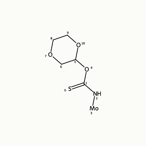 S=C([NH][Mo])OC1COCCO1